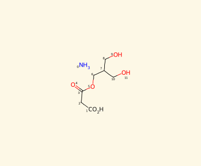 N.O=C(O)CC(=O)OCC(CO)CO